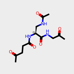 CC(=O)CCC(=O)N[C@@H](CNC(C)=O)C(=O)NCC(C)=O